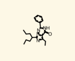 CCCC(CCC)c1nc(CC)c2c(=O)[nH]c(-c3ccccc3)nn12